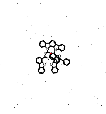 c1ccc(-c2nc3cccc(-n4c5ccccc5c5ccc6c7ccccc7n(-c7nc(-c8cccc9c8oc8ccccc89)nc(-c8cccc9c8oc8ccccc89)n7)c6c54)c3o2)cc1